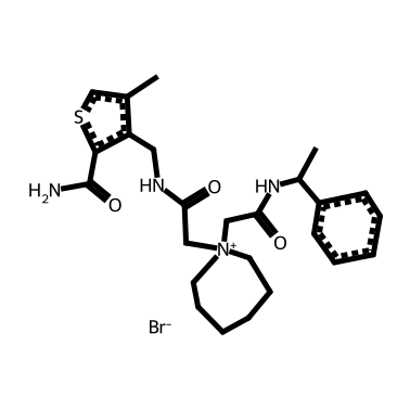 Cc1csc(C(N)=O)c1CNC(=O)C[N+]1(CC(=O)NC(C)c2ccccc2)CCCCCC1.[Br-]